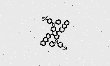 C[Si](C)(C)c1ccc(N(c2ccccc2)c2ccc3c(-c4ccc5cc6ccccc6cc5c4)c4cc(N(c5ccccc5)c5ccc([Si](C)(C)C)cc5)ccc4c(-c4ccc5cc6ccccc6cc5c4)c3c2)cc1